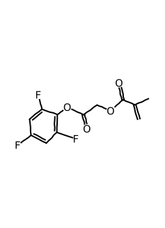 C=C(C)C(=O)OCC(=O)Oc1c(F)cc(F)cc1F